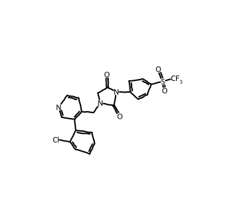 O=C1CN(Cc2ccncc2-c2ccccc2Cl)C(=O)N1c1ccc(S(=O)(=O)C(F)(F)F)cc1